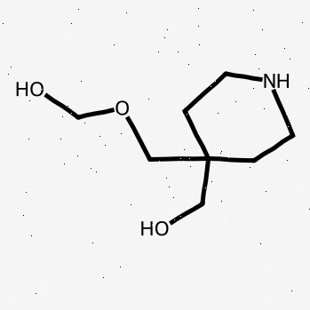 OCOCC1(CO)CCNCC1